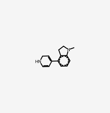 CN1CCc2c(C3=CCNC=C3)cccc21